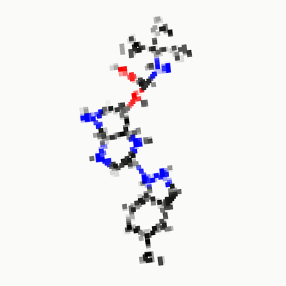 Cc1ccc2c(cnn2-c2cnc3[nH]cc(OC(=O)NC(C)(C)C)c3n2)c1